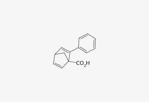 O=C(O)C12C=CC(C=C1c1ccccc1)C2